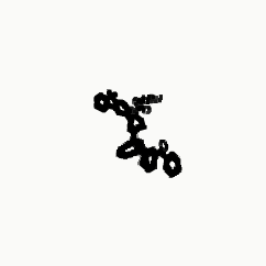 CC(C)(C)OC(=O)n1c2ccc(-c3cccc(-c4cccc(C(=O)c5ccccc5)c4)c3)cc2c2cc3c(cc21)C(C)(C)c1ccccc1-3